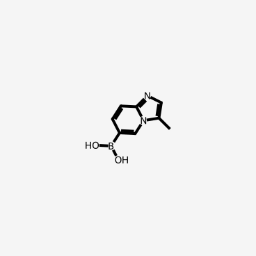 Cc1cnc2ccc(B(O)O)cn12